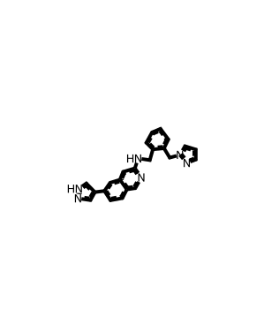 c1ccc(Cn2cccn2)c(CNc2cc3cc(-c4cn[nH]c4)ccc3cn2)c1